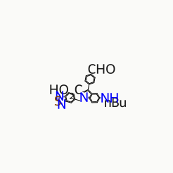 CCCCNc1ccc2c(c1)c(-c1ccc(C=O)cc1)c(C(=O)O)n2Cc1ccc2nsnc2c1